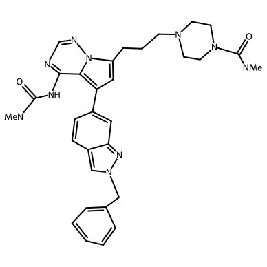 CNC(=O)Nc1ncnn2c(CCCN3CCN(C(=O)NC)CC3)cc(-c3ccc4cn(Cc5ccccc5)nc4c3)c12